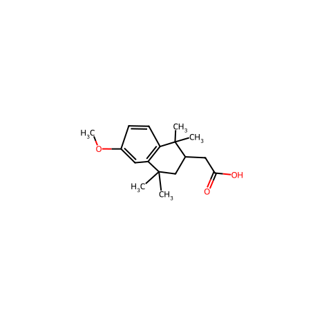 COc1ccc2c(c1)C(C)(C)CC(CC(=O)O)C2(C)C